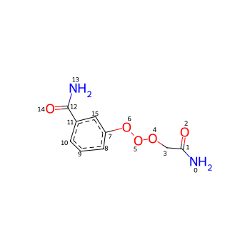 NC(=O)COOOc1cccc(C(N)=O)c1